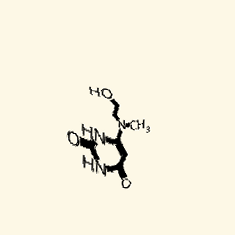 CN(CCO)c1cc(=O)[nH]c(=O)[nH]1